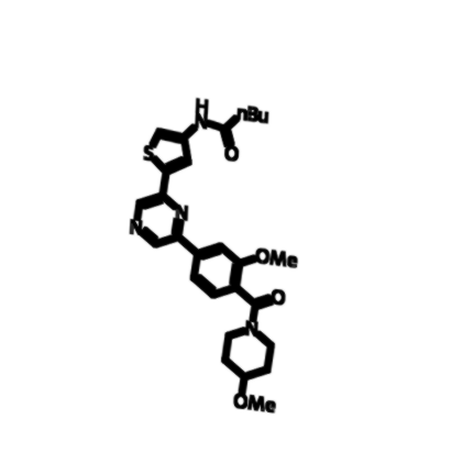 CCCCC(=O)Nc1csc(-c2cncc(-c3ccc(C(=O)N4CCC(OC)CC4)c(OC)c3)n2)c1